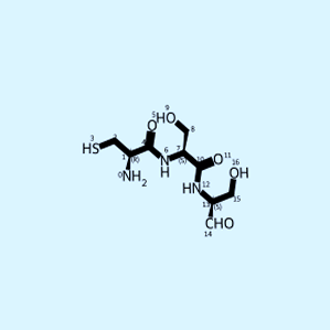 N[C@@H](CS)C(=O)N[C@@H](CO)C(=O)N[C@H](C=O)CO